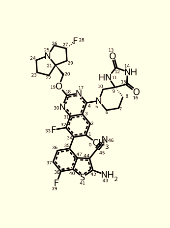 Cc1cc2c(N3CCC[C@]4(C3)NC(=O)NC4=O)nc(OC[C@@]34CCCN3C[C@H](F)C4)nc2c(F)c1-c1ccc(F)c2sc(N)c(C#N)c12